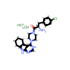 Cl.Cl.N[C@H](Cc1ccc(Cl)cc1)C(=O)N1CCN(c2ncnc3[nH]c4c(c23)CCCC4)CC1